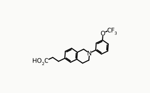 O=C(O)CCc1ccc2c(c1)CCN(c1cccc(OC(F)(F)F)c1)C2